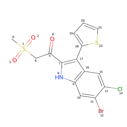 CS(=O)(=O)CC(=O)c1[nH]c2cc(Br)c(Cl)cc2c1-c1cccs1